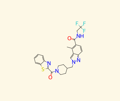 Cc1c(C(=O)NCC(F)(F)F)ccc2nn(CC3CCN(C(=O)c4nc5ccccc5s4)CC3)cc12